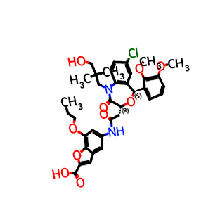 CCCOc1cc(NC(=O)C[C@H]2O[C@H](c3cccc(OC)c3OC)c3cc(Cl)ccc3N(CC(C)(C)CO)C2=O)cc2cc(C(=O)O)oc12